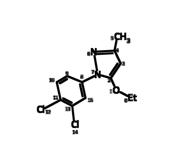 CCOc1cc(C)nn1-c1ccc(Cl)c(Cl)c1